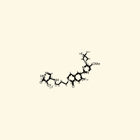 COc1cnc(-c2cc3ccn(CCC[C@H](C)Nc4cn[nH]c(=O)c4C(F)(F)F)c(=O)c3cc2F)nc1N1CC(F)(F)C1